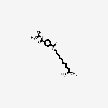 CC(C)CCCCCCCCCOC(=O)C1CCC(C(=O)OC(C)C)CC1